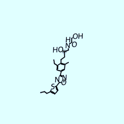 CCCc1ccc(-c2nc(-c3cc(C)c(CC[C@@H](O)CNC(=O)CO)c(CC)c3)no2)s1